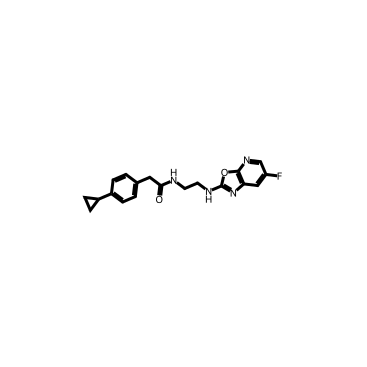 O=C(Cc1ccc(C2CC2)cc1)NCCNc1nc2cc(F)cnc2o1